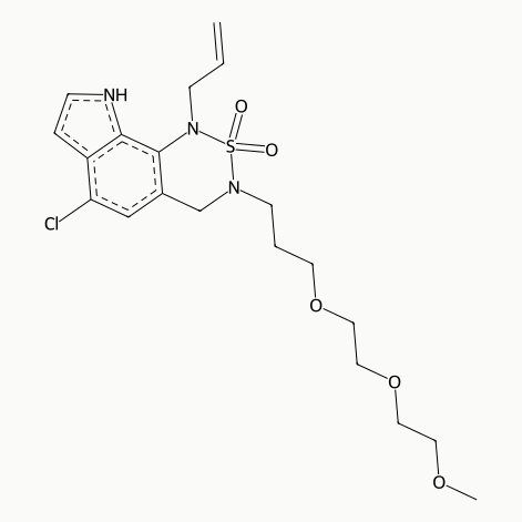 C=CCN1c2c(cc(Cl)c3cc[nH]c23)CN(CCCOCCOCCOC)S1(=O)=O